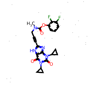 CN(CC#Cc1nc2c([nH]1)c(=O)n(C1CC1)c(=O)n2C1CC1)C(=O)Oc1cccc(F)c1F